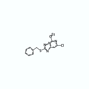 CCOc1nc(Cl)cc2nc(SCc3ccccc3)nn12